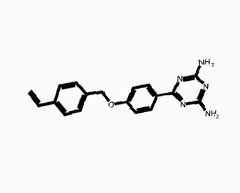 C=Cc1ccc(COc2ccc(-c3nc(N)nc(N)n3)cc2)cc1